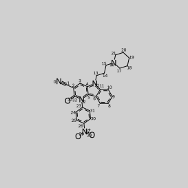 N#Cc1cc2c(c3ccccc3n2CCCN2CCCCC2)n(-c2ccc([N+](=O)[O-])cc2)c1=O